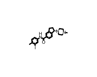 Cc1ccc(NC(=O)c2ccc3c(c2)CC[C@H]3N2CCN(C)CC2)cc1I